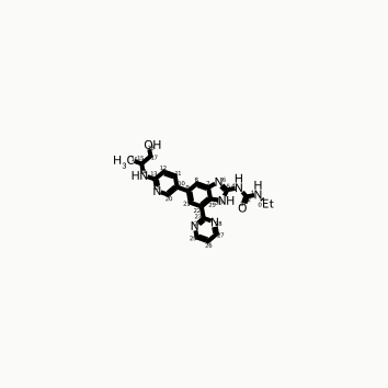 CCNC(=O)Nc1nc2cc(-c3ccc(NC(C)CO)nc3)cc(-c3ncccn3)c2[nH]1